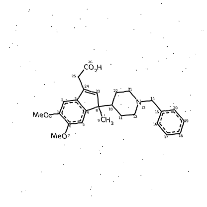 COc1cc2c(cc1OC)C(C)(C1CCN(Cc3ccccc3)CC1)C=C2CC(=O)O